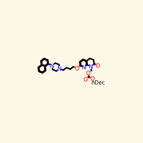 CCCCCCCCCCOC(=O)OCN1C(=O)CCc2ccc(OCCCCN3CCN(c4cccc5ccccc45)CC3)nc21